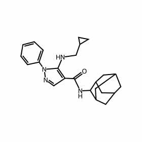 O=C(NC1C2CC3CC(C2)CC1C3)c1cnn(-c2ccccc2)c1NCC1CC1